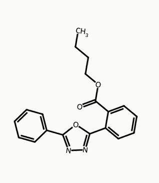 CCCCOC(=O)c1ccccc1-c1nnc(-c2ccccc2)o1